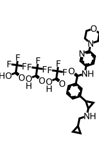 O=C(Nc1ccc(N2CCOCC2)nc1)c1cccc(C2CC2NCC2CC2)c1.O=C(O)C(F)(F)F.O=C(O)C(F)(F)F.O=C(O)C(F)(F)F